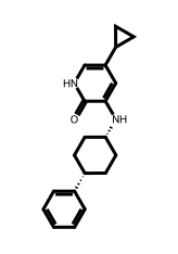 O=c1[nH]cc(C2CC2)cc1N[C@H]1CC[C@@H](c2ccccc2)CC1